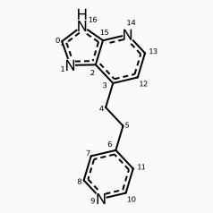 [c]1nc2c(CCc3ccncc3)ccnc2[nH]1